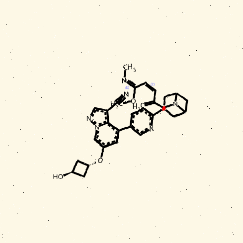 C=C(/C=C\C(=N/C)OC)CN1C2CC1CN(c1ccc(-c3cc(O[C@H]4C[C@H](O)C4)cn4ncc(C#N)c34)cn1)C2